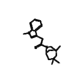 Cn1cc(CC(=O)N2CC3(C)CC2CC(C)(C)C3)c2ccccc21